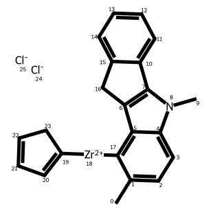 Cc1ccc2c(c3c(n2C)-c2ccccc2C3)[c]1[Zr+2][C]1=CC=CC1.[Cl-].[Cl-]